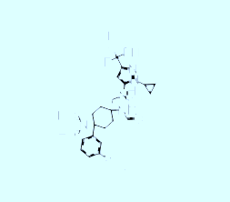 CN(C[C@]1(NC=O)CC[C@@](c2cccc(P)c2)(N(C)C)CC1)c1cc(C(C)(F)P)nn1C1CC1